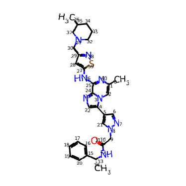 Cc1cn2c(-c3cnn(CC(=O)N[C@H](C)c4ccccc4)c3)cnc2c(Nc2cc(CN3CCCC(C)C3)ns2)n1